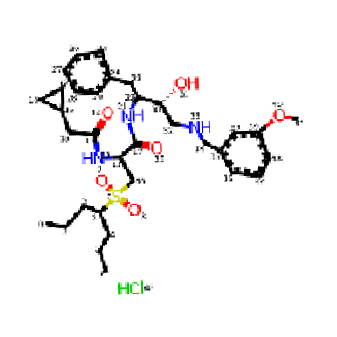 CCCC(CCC)S(=O)(=O)CC(NC(=O)CC1CC1)C(=O)N[C@@H](Cc1ccccc1)[C@H](O)CNCc1cccc(OC)c1.Cl